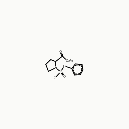 COC(=O)C1CCCN1P(=O)(Cl)Oc1ccccc1